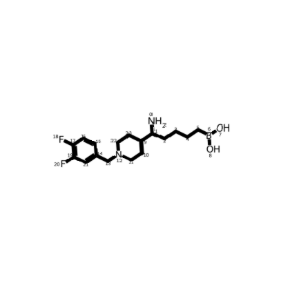 NC(CCCCB(O)O)C1CCN(Cc2ccc(F)c(F)c2)CC1